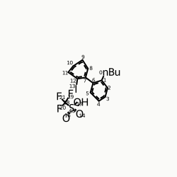 CCCCc1ccccc1-c1ccccc1I.O=S(=O)(O)C(F)(F)F